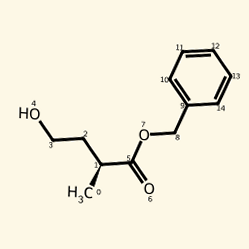 C[C@@H](CCO)C(=O)OCc1ccccc1